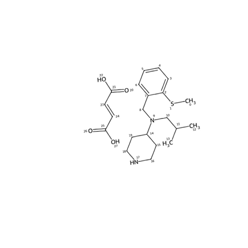 CSc1ccccc1CN(CC(C)C)C1CCNCC1.O=C(O)C=CC(=O)O